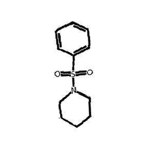 O=S(=O)(c1ccccc1)N1C[CH]CCC1